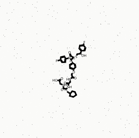 O=C(O)CNC(=O)[C@@H](CC1CCCCC1)NC(=O)CNC(=O)COc1ccc([C@@H]2[C@@H](SC[C@H](O)c3ccc(F)cc3)C(=O)N2c2ccc(F)cc2)cc1